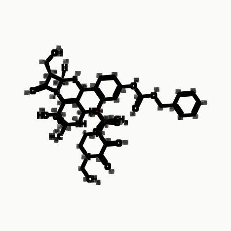 CCN1CCN(C(=O)Nc2cc(OC(=O)OCc3ccccc3)ccc2C2S[C@@H]3[C@H](CO)C(=O)N3C(C(=O)O)=C2C(NC(C)=O)OC(C)=O)C(=O)C1=O